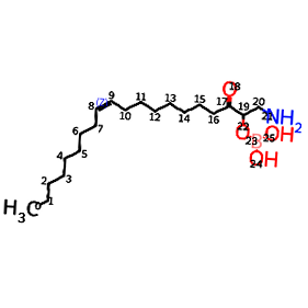 CCCCCCCC/C=C\CCCCCCCC(=O)C(CN)OB(O)O